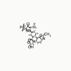 Cc1nc2ccc(N(CC(=O)O)C(=O)c3cccc(-n4nc(C(F)(F)F)c(Cl)c4C4CC4)c3)cc2o1